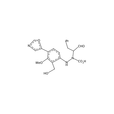 COc1c(-c2cnco2)ccc(NN(C(=O)O)C(C=O)CC(C)C)c1CO